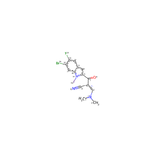 CN(C)/C=C(\C#N)C(=O)c1cc2cc(F)c(Br)cc2n1I